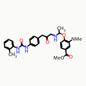 CNc1cc(C(=O)OC)ccc1OC(C)NCC(=O)Cc1ccc(NC(=O)Nc2ccccc2C)cc1